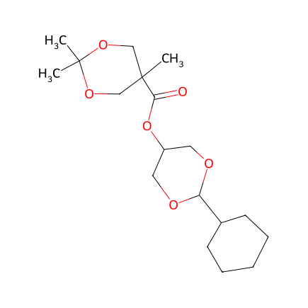 CC1(C)OCC(C)(C(=O)OC2COC(C3CCCCC3)OC2)CO1